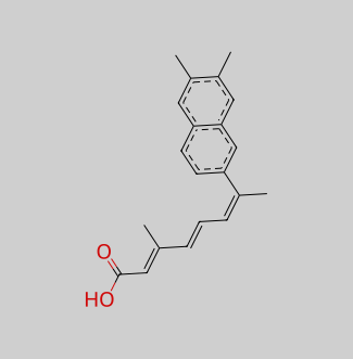 C/C(=C/C=C/C(C)=C/C(=O)O)c1ccc2cc(C)c(C)cc2c1